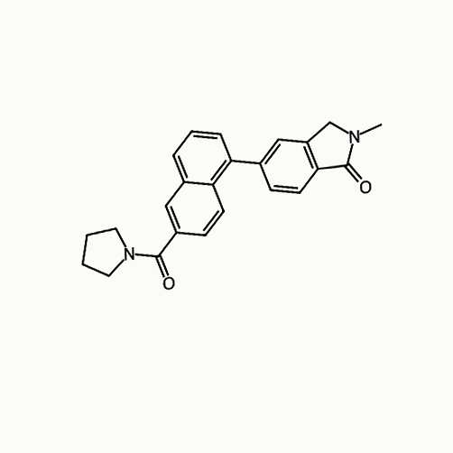 CN1Cc2cc(-c3cccc4cc(C(=O)N5CCCC5)ccc34)ccc2C1=O